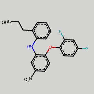 O=CCCc1ccccc1Nc1cc([N+](=O)[O-])ccc1Oc1ccc(F)cc1F